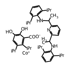 CC(C)c1cc(O)c(O)c(C(=O)[O-])c1C(C)C.CC(C)c1cccc(C(C)C)c1NC(C)c1cccc(C(C)Nc2c(C(C)C)cccc2C(C)C)n1.[Co+]